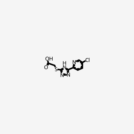 O=C(O)CSc1nnc(-c2ccc(Cl)cn2)[nH]1